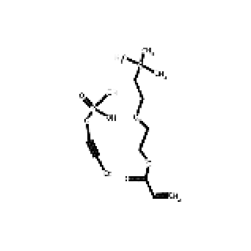 C=CC(=O)OCCOCC[N+](C)(C)C.CCC#COP(=O)(O)O